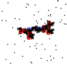 C=CC(=O)OCC(COC(=O)C(=C)C)OC(=O)NCCC(C)CC(C)(C)CNC(=O)OC(COC(=O)C=C)COC(=O)C(=C)C